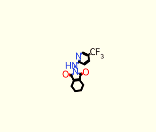 O=C1C2=C(CCCC2)C(=O)N1Nc1ccc(C(F)(F)F)cn1